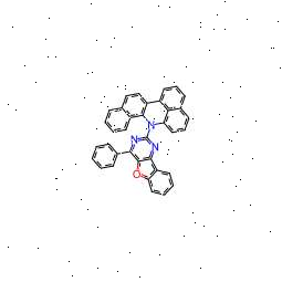 c1ccc(-c2nc(N3c4c(ccc5ccccc45)-c4cccc5cccc3c45)nc3c2oc2ccccc23)cc1